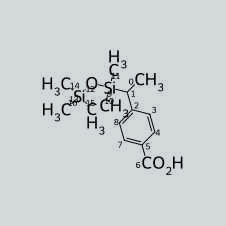 CC(c1ccc(C(=O)O)cc1)[Si](C)(C)O[Si](C)(C)C